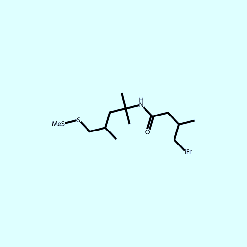 CSSCC(C)CC(C)(C)NC(=O)CC(C)CC(C)C